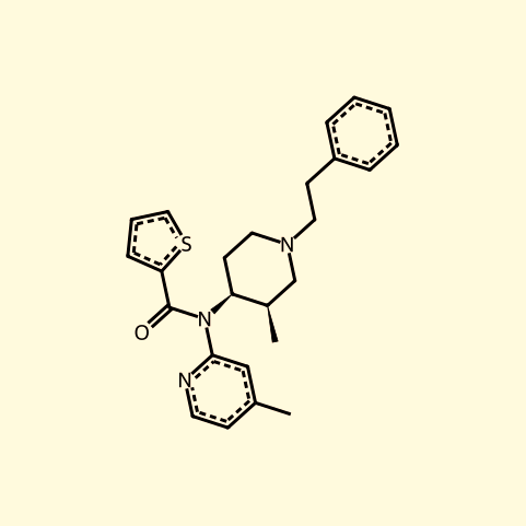 Cc1ccnc(N(C(=O)c2cccs2)[C@H]2CCN(CCc3ccccc3)C[C@H]2C)c1